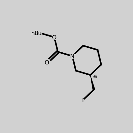 CCCCOC(=O)N1CCC[C@@H](CI)C1